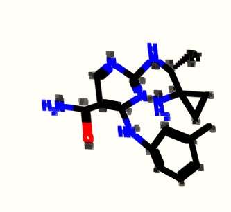 Cc1cccc(Nc2nc(N[C@H](C(C)C)C3(N)CC3)ncc2C(N)=O)c1